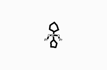 CC(C)O[Si](OC(C)C)(C1CCCCC1)C1CCCC1